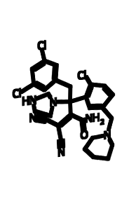 N#CC(C#N)=C(C(N)=O)C(Cc1cc(Cl)cc(Cl)c1)(c1cc(CN2CCCCC2)ccc1Cl)N1CCNC1